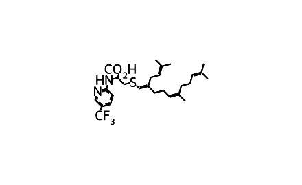 CC(C)=CCCC(C)=CCCC(=CSCC(Nc1ccc(C(F)(F)F)cn1)C(=O)O)CC=C(C)C